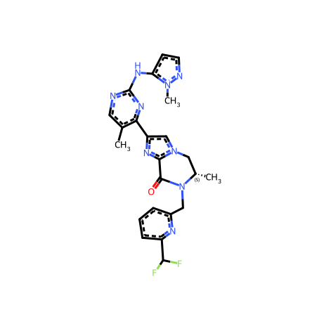 Cc1cnc(Nc2ccnn2C)nc1-c1cn2c(n1)C(=O)N(Cc1cccc(C(F)F)n1)[C@@H](C)C2